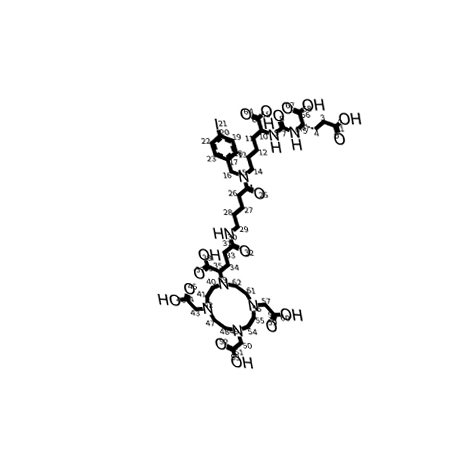 O=C(O)CC[C@H](NC(=O)NC(CCCCN(Cc1ccc(I)cc1)C(=O)CCCCNC(=O)CCC(C(=O)O)N1CCN(CC(=O)O)CCN(CC(=O)O)CCN(CC(=O)O)CC1)C(=O)O)C(=O)O